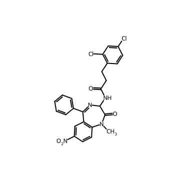 CN1C(=O)C(NC(=O)CCc2ccc(Cl)cc2Cl)N=C(c2ccccc2)c2cc([N+](=O)[O-])ccc21